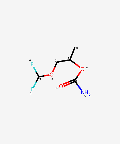 CC(COC(F)F)OC(N)=O